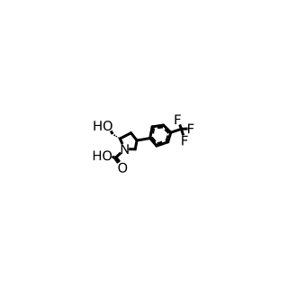 O=C(O)N1CC(c2ccc(C(F)(F)F)cc2)C[C@H]1CO